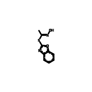 CC(=NO)Sc1nc2ccccc2o1